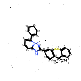 CC1(C)c2ccccc2Sc2cc(C3=NN4C(C5=CCCC=C5)=CC=CC4N3)ccc21